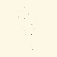 CCCCc1cc(OCCC(=O)O)ccc1-c1ncc(C=O)[nH]1